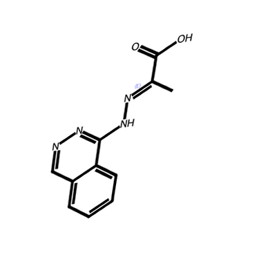 C/C(=N\Nc1nncc2ccccc12)C(=O)O